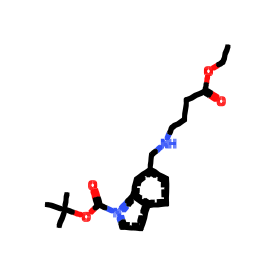 CCOC(=O)CCCNCc1ccc2ccn(C(=O)OC(C)(C)C)c2c1